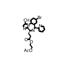 CC(=O)OCCOC(=O)CC[C@@H]1N=C(c2ccccn2)c2cc(Br)ccc2-n2c(C)cnc21